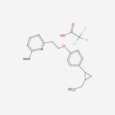 CNc1cccc(CCOc2ccc(C3CC3CC(=O)O)cc2)n1.O=C(O)C(F)(F)F